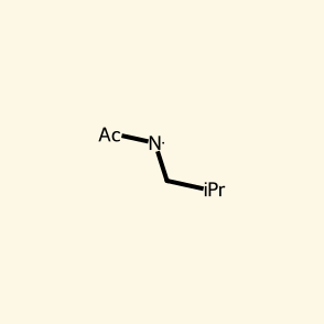 CC(=O)[N]CC(C)C